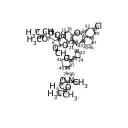 COC(=O)[C@](O)(CC(=O)OC(C)(C)C)c1ccc2c(c1)N(C[C@@H]1CC[C@H]1[C@@H]1C[C@H](CCN(C)C(=O)OC(C)(C)C)CCO1)C[C@@]1(CCCc3cc(Cl)ccc31)CO2